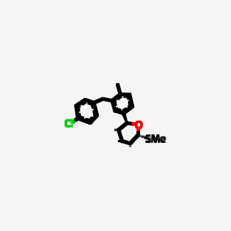 CS[C@@H]1[CH][CH][CH][C@@H](c2ccc(C)c(Cc3ccc(Cl)cc3)c2)O1